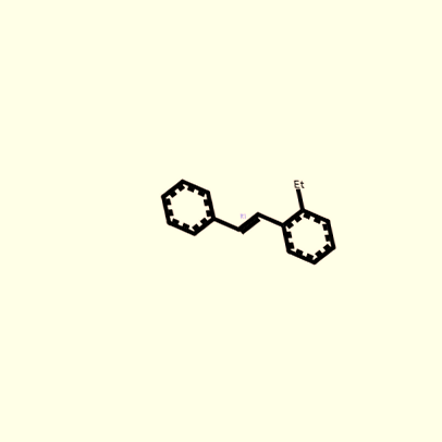 CCc1ccccc1/C=C/c1ccccc1